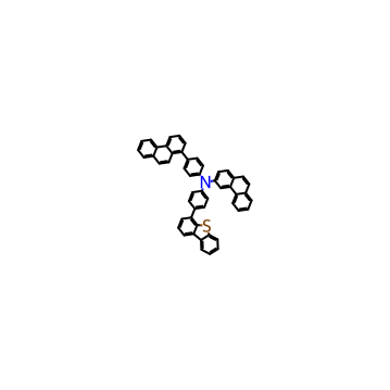 c1ccc2c(c1)ccc1ccc(N(c3ccc(-c4cccc5c4ccc4ccccc45)cc3)c3ccc(-c4cccc5c4sc4ccccc45)cc3)cc12